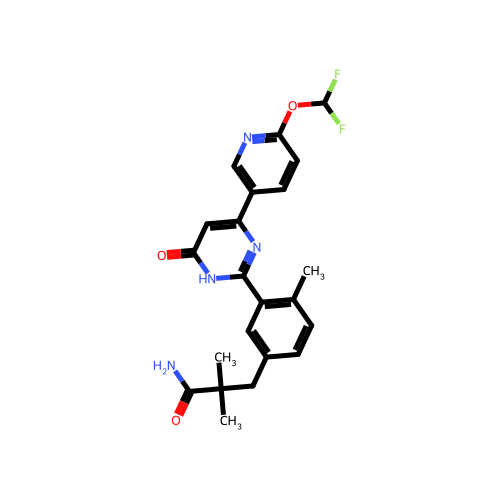 Cc1ccc(CC(C)(C)C(N)=O)cc1-c1nc(-c2ccc(OC(F)F)nc2)cc(=O)[nH]1